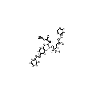 CC(C)(C)OC(=O)NC(COP(=O)(O)CCC(=O)OCc1ccccc1)Cc1ccc(OCc2ccccc2)cc1